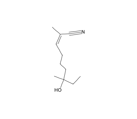 CCC(C)(O)CCCC=C(C)C#N